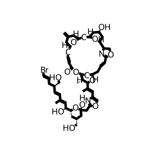 C=C1C[C@@H]2C[C@@H]3C[C@@H](O)C[C@@H](O3)C3COC(=N3)/C=C/C[C@@H]3C[C@H](OC(=O)/C=C\C[C@@H](C1)O2)[C@@H](C)C(/C(C)=C/c1coc(C[C@]2(O)C[C@H](CO)C[C@H]([C@H](O)/C=C(C)/C=C/[C@H](CO)C/C=C/Br)O2)n1)O3